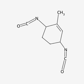 CC1=CC(N=C=O)CCC1N=C=O